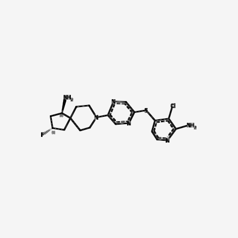 Nc1nccc(Sc2cnc(N3CCC4(CC3)C[C@H](F)C[C@H]4N)cn2)c1Cl